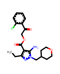 CCc1nn(CC2CCOCC2)c(N)c1C(=O)OCC(=O)c1ccccc1Cl